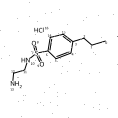 CCCc1ccc(S(=O)(=O)NCCN)cc1.Cl